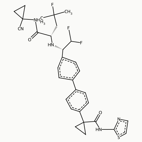 CC(C)(F)C[C@H](N[C@@H](c1ccc(-c2ccc(C3(C(=O)Nc4nccs4)CC3)cc2)cc1)C(F)F)C(=O)NC1(C#N)CC1